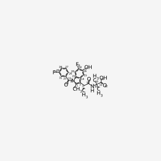 Cc1c([C@@H](C)C(=O)NC(C)(C)C(=O)O)c2cc(O)c(F)cc2n1C(=O)c1cccc(F)c1